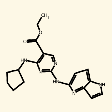 CCOC(=O)c1cnc(Nc2ccc3[nH]ccc3n2)nc1NC1CCCC1